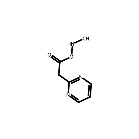 CNOC(=O)Cc1ncccn1